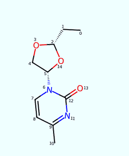 CC[C@H]1OC[C@@H](n2ccc(C)nc2=O)O1